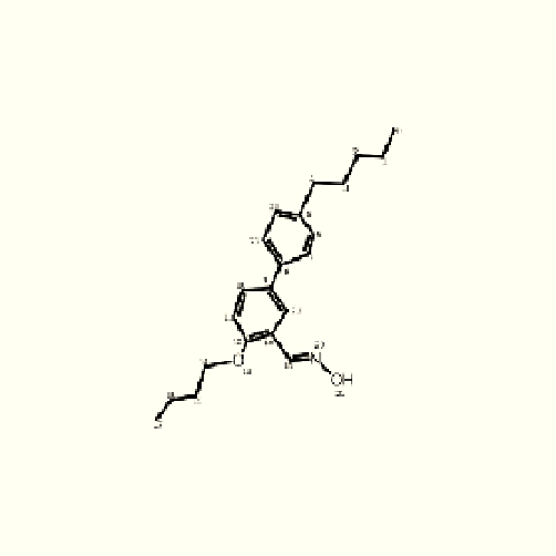 CCCCCc1ccc(-c2ccc(OCCCC)c(C=NO)c2)cc1